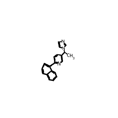 CC(c1ccc(-c2cccc3ccccc23)nc1)n1ccnc1